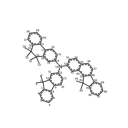 CC1(C)c2ccccc2-c2ccc(N(c3ccc4c(c3)C(C)(C)C(C)(C)c3ccccc3-4)c3ccc4ccc5c(c4c3)C(C)(C)c3ccccc3-5)cc21